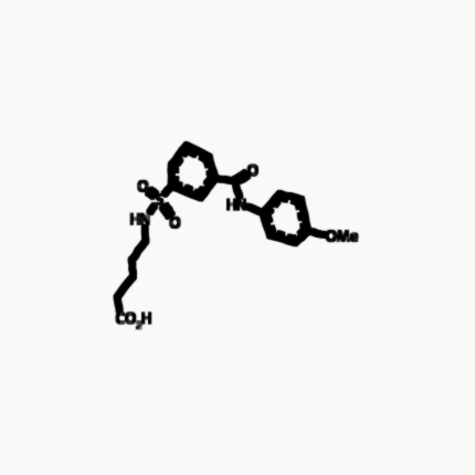 COc1ccc(NC(=O)c2cccc(S(=O)(=O)NCCCCC(=O)O)c2)cc1